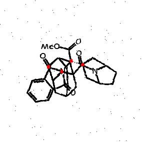 COC(=O)[C@H](C1CC2CCC(C1)N2C(=O)C12CC3CC(CC(C3)C1)C2)N1C(=O)c2ccccc2C1=O